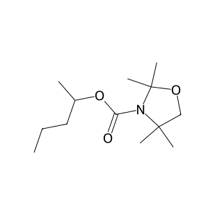 CCCC(C)OC(=O)N1C(C)(C)COC1(C)C